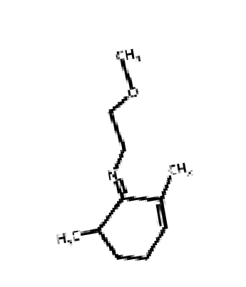 COCCN=C1C(C)=CCCC1C